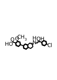 COc1cc(-c2ccc3c(c2)C[C@@H](NC[C@@H](O)c2ccc(Cl)cc2)CC3)ccc1C(=O)O